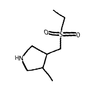 CCS(=O)(=O)CC1CNCC1C